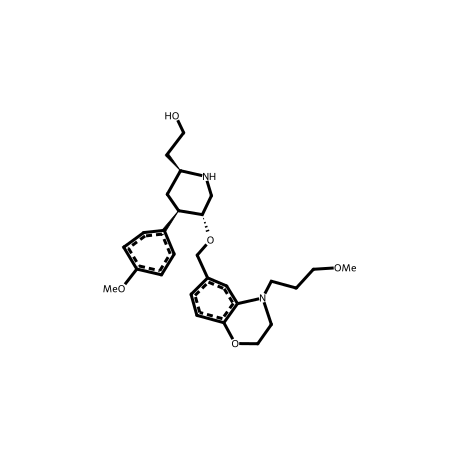 COCCCN1CCOc2ccc(CO[C@H]3CN[C@H](CCO)C[C@@H]3c3ccc(OC)cc3)cc21